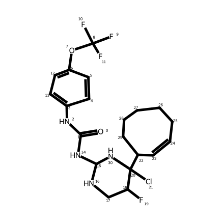 O=C(Nc1ccc(OC(F)(F)F)cc1)NC1NCC(F)C(Cl)(C2/C=C\CCCCC2)N1